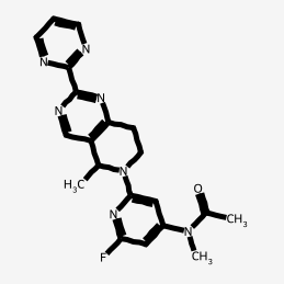 CC(=O)N(C)c1cc(F)nc(N2CCc3nc(-c4ncccn4)ncc3C2C)c1